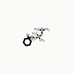 CCC1([SiH2]O[Si](C)(C)O[SiH](C)C)CCCCC1